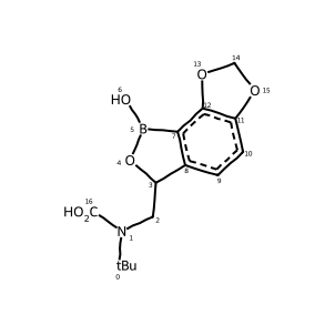 CC(C)(C)N(CC1OB(O)c2c1ccc1c2OCO1)C(=O)O